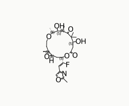 Cc1nc(C=C(F)[C@@H]2C[C@@H]3O[C@]3(C)CCO[C@H](C)[C@@H](O)[C@@H](C)C(=O)C(C)(C)[C@@H](O)CC(=O)O2)co1